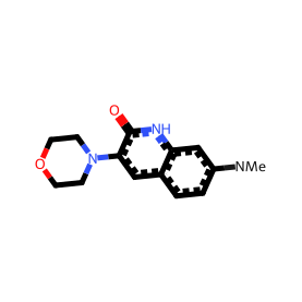 CNc1ccc2cc(N3CCOCC3)c(=O)[nH]c2c1